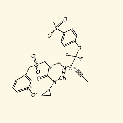 CC#C[C@H](NC[C@@H](CS(=O)(=O)Cc1ccc[n+]([O-])c1)C(=O)N(C#N)C1CC1)C(F)(F)Oc1ccc(S(C)(=O)=O)cc1